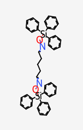 C(CCCC=NO[Si](c1ccccc1)(c1ccccc1)c1ccccc1)=NO[Si](c1ccccc1)(c1ccccc1)c1ccccc1